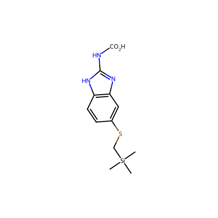 C[Si](C)(C)CSc1ccc2[nH]c(NC(=O)O)nc2c1